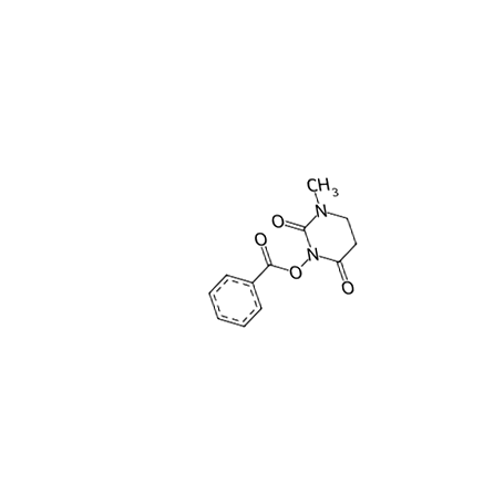 CN1CCC(=O)N(OC(=O)c2ccccc2)C1=O